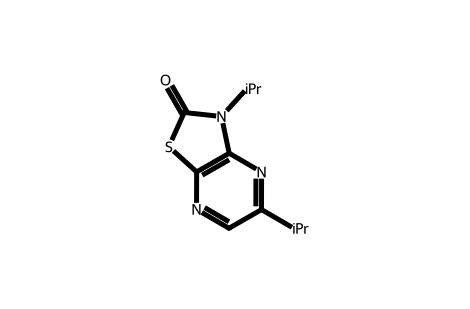 CC(C)c1cnc2sc(=O)n(C(C)C)c2n1